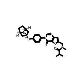 CC(C)C(=O)N(C)Cc1cc2ncn(-c3ccc(O[C@H]4C[C@H]5CC[C@@H](C4)N5C)cc3)c(=O)c2s1